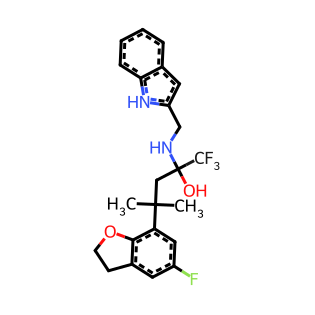 CC(C)(CC(O)(NCc1cc2ccccc2[nH]1)C(F)(F)F)c1cc(F)cc2c1OCC2